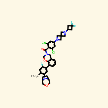 O=C(O)c1cc(F)c(-c2cccc3c2OCN(C(=O)c2c(Cl)cc(N4CC5(C4)CN(C4CC(F)(F)C4)C5)cc2Cl)C3)cc1N1C2CCC1COC2